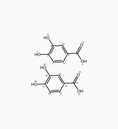 O=C(O)c1ccc(O)c(O)c1.O=C(O)c1ccc(O)c(O)c1